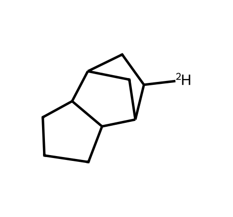 [2H]C1CC2CC1C1CCCC21